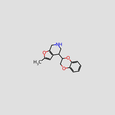 Cc1cc2c(o1)CNCC2C1COc2ccccc2O1